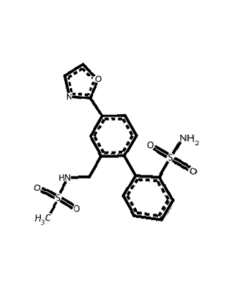 CS(=O)(=O)NCc1cc(-c2ncco2)ccc1-c1ccccc1S(N)(=O)=O